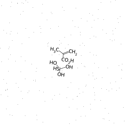 C=C(C)C(=O)O.O[SiH](O)O